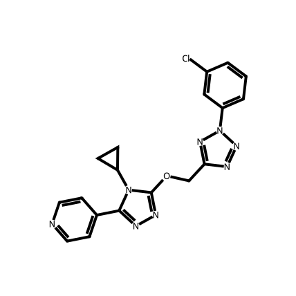 Clc1cccc(-n2nnc(COc3nnc(-c4ccncc4)n3C3CC3)n2)c1